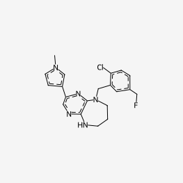 Cn1ccc(-c2cnc3c(n2)N(Cc2cc(CF)ccc2Cl)CCCN3)c1